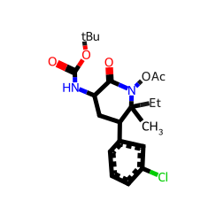 CCC1(C)C(c2cccc(Cl)c2)CC(NC(=O)OC(C)(C)C)C(=O)N1OC(C)=O